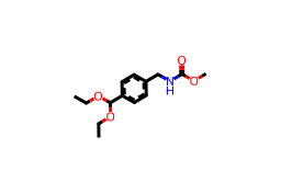 CCOC(OCC)c1ccc(CNC(=O)OC)cc1